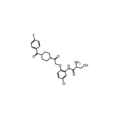 N[C@@H](CO)C(=O)Nc1cc(Cl)ccc1OCC(=O)N1CCC(C(=O)c2ccc(F)cc2)CC1